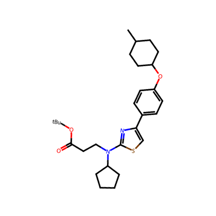 CC1CCC(Oc2ccc(-c3csc(N(CCC(=O)OC(C)(C)C)C4CCCC4)n3)cc2)CC1